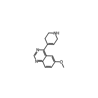 COc1ccc2ncnc(C3=CCNCC3)c2c1